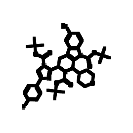 CC(C)(C)OC(=O)N1C(c2nc(-c3ccc(F)cc3)cn2C(=O)OC(C)(C)C)Cc2c(n(C(=O)OC(C)(C)C)c3ccc(Br)cc23)C1C1CCOCC1